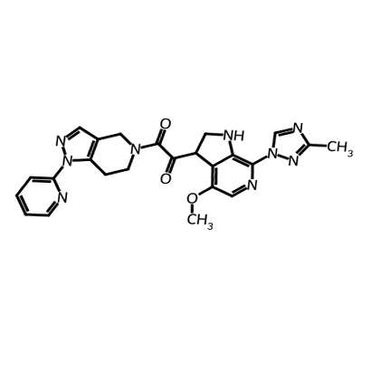 COc1cnc(-n2cnc(C)n2)c2c1C(C(=O)C(=O)N1CCc3c(cnn3-c3ccccn3)C1)CN2